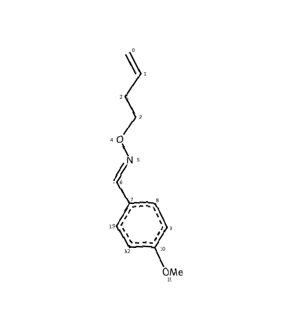 C=CCCON=[C]c1ccc(OC)cc1